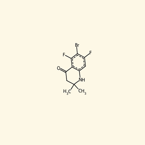 CC1(C)CC(=O)c2c(cc(F)c(Br)c2F)N1